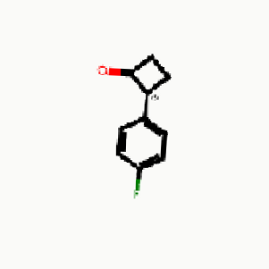 O=C1CC[C@H]1c1ccc(F)cc1